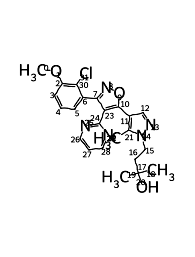 COc1cccc(-c2noc(-c3cnn(CCC(C)(C)O)c3C)c2-c2ncccn2)c1Cl